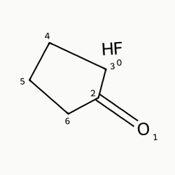 F.O=C1CCCC1